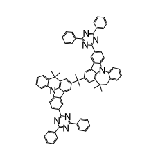 CC1(C)Cc2ccccc2-n2c3ccc(-c4nc(-c5ccccc5)nc(-c5ccccc5)n4)cc3c3cc(C(C)(C)c4cc5c6c(c4)c4cc(-c7nc(-c8ccccc8)nc(-c8ccccc8)n7)ccc4n6-c4ccccc4C5(C)C)cc1c32